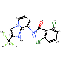 O=C(Nc1cccn2cc(C(F)(F)F)nc12)c1c(Cl)cccc1Cl